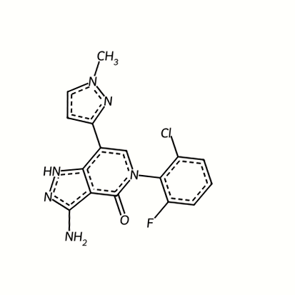 Cn1ccc(-c2cn(-c3c(F)cccc3Cl)c(=O)c3c(N)n[nH]c23)n1